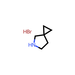 Br.C1CC2(CC2)CN1